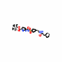 CC(C)OC(=O)c1ccc(C(=O)NS(=O)(=O)c2ccc(CCNC(=O)CCC3CCCCC3)cc2)cn1